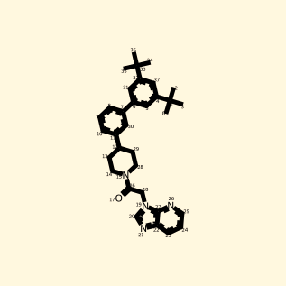 CC(C)(C)c1cc(-c2cccc(C3CCN(C(=O)Cn4cnc5cccnc54)CC3)c2)cc(C(C)(C)C)c1